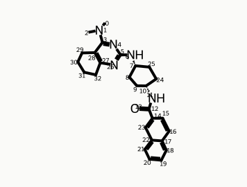 CN(C)c1nc(N[C@H]2CC[C@@H](NC(=O)c3ccc4ccccc4c3)CC2)nc2c1CCCC2